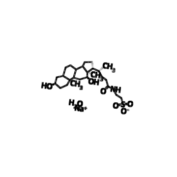 C[C@H](CCC(=O)NCCS(=O)(=O)[O-])[C@H]1CCC2C3CCC4C[C@H](O)CC[C@]4(C)C3C[C@H](O)[C@@]21C.O.[Na+]